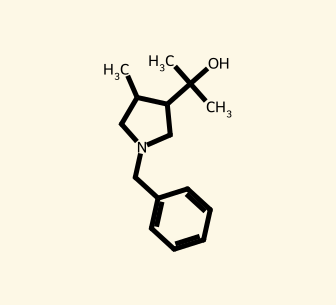 CC1CN(Cc2ccccc2)CC1C(C)(C)O